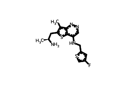 Cc1c(C[C@H](C)N)sc2c(NCc3cc(F)cs3)cnnc12